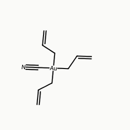 C=C[CH2][Au]([C]#N)([CH2]C=C)[CH2]C=C